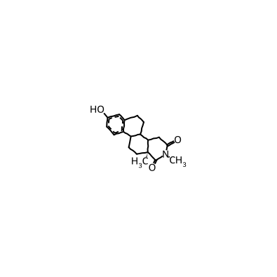 CN1C(=O)CC2C3CCc4cc(O)ccc4C3CC[C@]2(C)C1=O